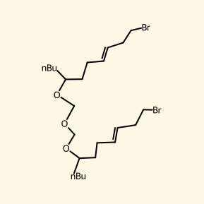 CCCCC(CCC=CCCBr)OCOCOC(CCC=CCCBr)CCCC